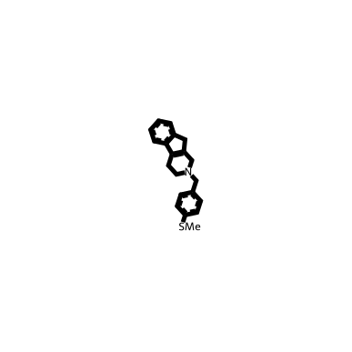 CSc1ccc(CN2CCC3=C(Cc4ccccc43)C2)cc1